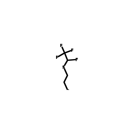 [CH2]CCSC(F)C(F)(F)F